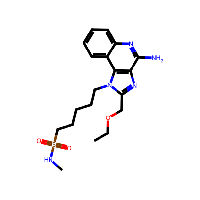 CCOCc1nc2c(N)nc3ccccc3c2n1CCCCCS(=O)(=O)NC